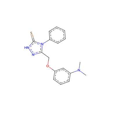 CN(C)c1cccc(OCc2n[nH]c(=S)n2-c2ccccc2)c1